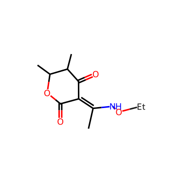 CCONC(C)=C1C(=O)OC(C)C(C)C1=O